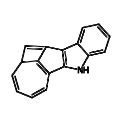 C1=CC2=C3C(=CC3C=C1)c1c2[nH]c2ccccc12